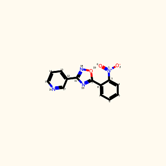 O=[N+]([O-])c1ccccc1-c1nc(-c2cccnc2)no1